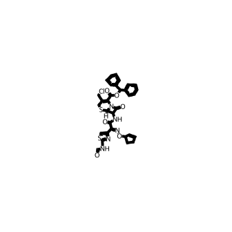 O=CNc1nc(C(=NOC2C=CCC2)C(=O)NC2C(=O)N3C(C(=O)OC(c4ccccc4)c4ccccc4)=C(CCl)CS[C@@H]23)cs1